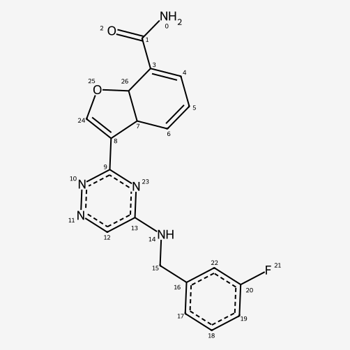 NC(=O)C1=CC=CC2C(c3nncc(NCc4cccc(F)c4)n3)=COC12